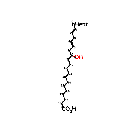 CCCCCCCC=CCC=CCC(O)CCCCCCCCCCCC(=O)O